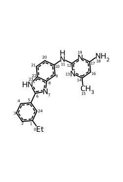 CCc1cccc(-c2nc3cc(Nc4nc(C)cc(N)n4)ccc3[nH]2)c1